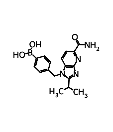 CC(C)c1nc2nc(C(N)=O)ccc2n1Cc1ccc(B(O)O)cc1